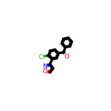 O=C(c1ccccc1)c1ccc(Cl)c(-c2ccon2)c1